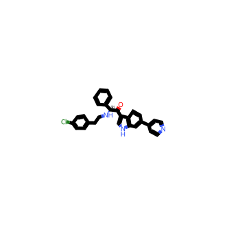 O=C(c1c[nH]c2cc(-c3ccncc3)ccc12)[C@H](NCCc1ccc(Cl)cc1)c1ccccc1